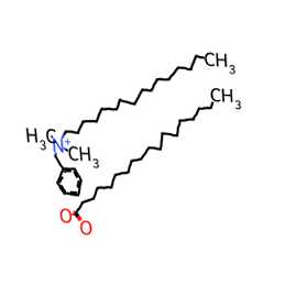 CCCCCCCCCCCCCCCCCC(=O)[O-].CCCCCCCCCCCCCCCC[N+](C)(C)Cc1ccccc1